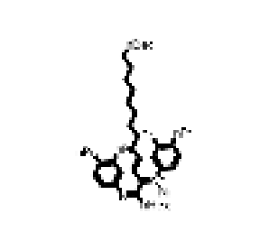 CCCCCCCCCCCCCCCCCCCC=CC(C(CCCCCC)=Nc1ccc(CCC)c(CCC)c1)=[N+]([Ni])c1ccc(CCC)c(CCC)c1